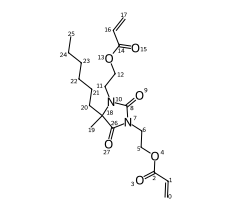 C=CC(=O)OCCN1C(=O)N(CCOC(=O)C=C)C(C)(CCCCCC)C1=O